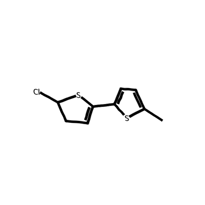 Cc1ccc(C2=CCC(Cl)S2)s1